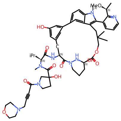 CCn1c(-c2cccnc2[C@H](C)OC)c2c3cc(ccc31)-c1cc(O)cc(c1)C[C@H](NC(=O)[C@H](C(C)C)N(C)C(=O)C1(O)CCN(C(=O)C#CCN3CCOCC3)C1)C(=O)N1CCC[C@@](O)(N1)C(=O)OCC(C)(C)C2